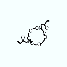 C=CC(=O)CN1CCOCCOCCN(CC(=O)C=C)CCOCC1